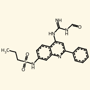 CCCS(=O)(=O)Nc1ccc2c(NC(=N)NC=O)cc(-c3ccccc3)nc2c1